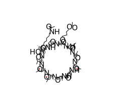 CC[C@@H]1NC(=O)[C@H]([C@H](O)[C@H](C)CCCCCCNC(C)=O)N(C)C(=O)[C@H](C(C)C)N(C)C(=O)[C@H](CC(C)C)N(C)C(=O)[C@H](CC(C)C)N(C)C(=O)[C@H](C)NC(=O)[C@@H](C)NC(=O)[C@@H](CC(C)C)N(C)C(=O)[C@@H](C(C)C)NC(=O)[C@H](CC(C)C)N(C)C(=O)[C@@H](COCCCCOC(C)=O)N(C)C1=O